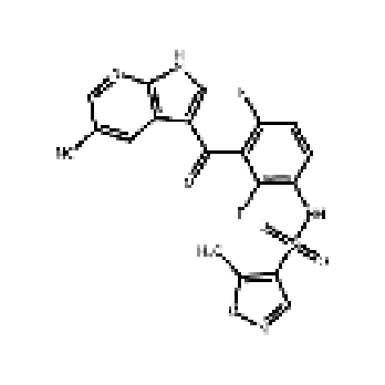 Cc1oncc1S(=O)(=O)Nc1ccc(F)c(C(=O)c2c[nH]c3ncc(C#N)cc23)c1F